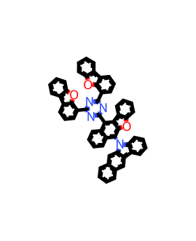 c1ccc2cc3c(cc2c1)c1ccccc1n3-c1c2ccccc2c(-c2nc(-c3cccc4c3oc3ccccc34)nc(-c3cccc4c3oc3ccccc34)n2)c2c1oc1ccccc12